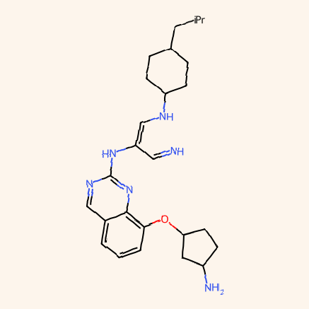 CC(C)CC1CCC(N/C=C(\C=N)Nc2ncc3cccc(OC4CCC(N)C4)c3n2)CC1